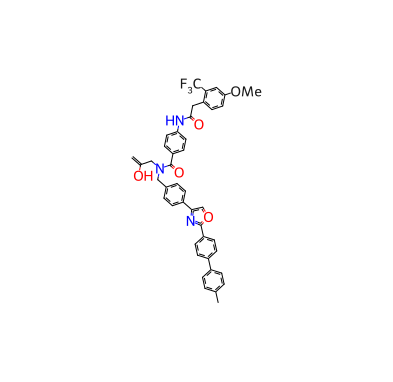 C=C(O)CN(Cc1ccc(-c2coc(-c3ccc(-c4ccc(C)cc4)cc3)n2)cc1)C(=O)c1ccc(NC(=O)Cc2ccc(OC)cc2C(F)(F)F)cc1